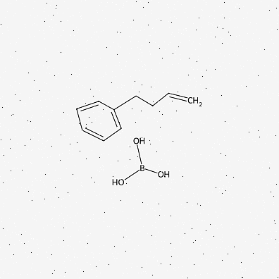 C=CCCc1ccccc1.OB(O)O